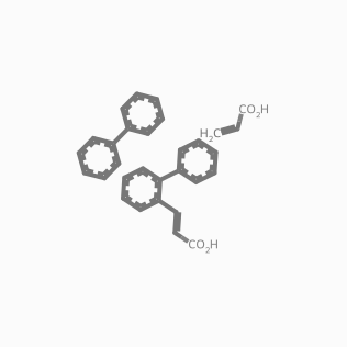 C=CC(=O)O.O=C(O)C=Cc1ccccc1-c1ccccc1.c1ccc(-c2ccccc2)cc1